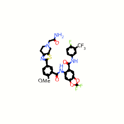 COc1ccc(-c2nc3c(s2)CN(CC(N)=O)CC3)cc1C(=O)Nc1cc2c(cc1C(=O)Nc1ccc(F)c(C(F)(F)F)c1)OC(F)(F)O2